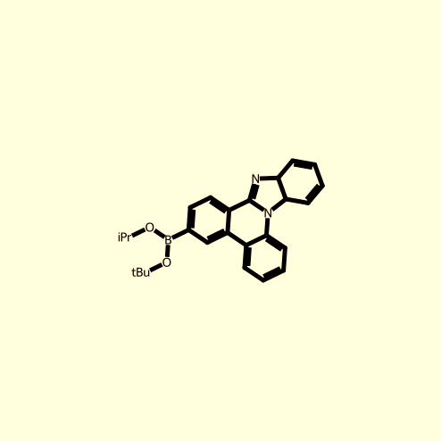 CC(C)OB(OC(C)(C)C)c1ccc2c(c1)-c1ccccc1N1C2=NC2C=CC=CC21